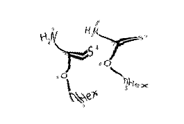 CCCCCCOC(N)=S.CCCCCCOC(N)=S